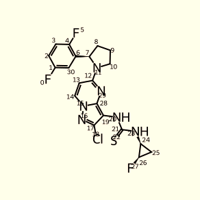 Fc1ccc(F)c([C@H]2CCCN2c2ccn3nc(Cl)c(NC(=S)N[C@H]4C[C@H]4F)c3n2)c1